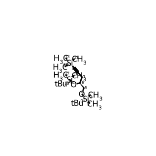 CC(C)(C)[Si](C)(C)OC[C@H](CC#C[Si](C)(C)C)O[Si](C)(C)C(C)(C)C